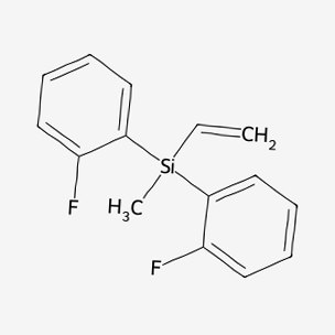 C=C[Si](C)(c1ccccc1F)c1ccccc1F